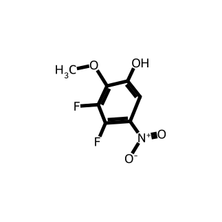 COc1c(O)cc([N+](=O)[O-])c(F)c1F